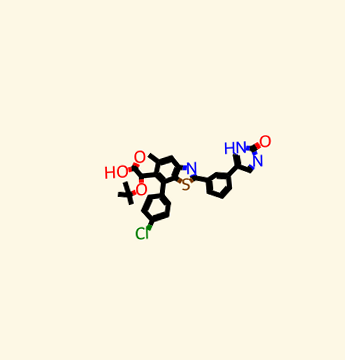 Cc1cc2nc(-c3cccc(-c4cnc(=O)[nH]c4)c3)sc2c(-c2ccc(Cl)cc2)c1C(OC(C)(C)C)C(=O)O